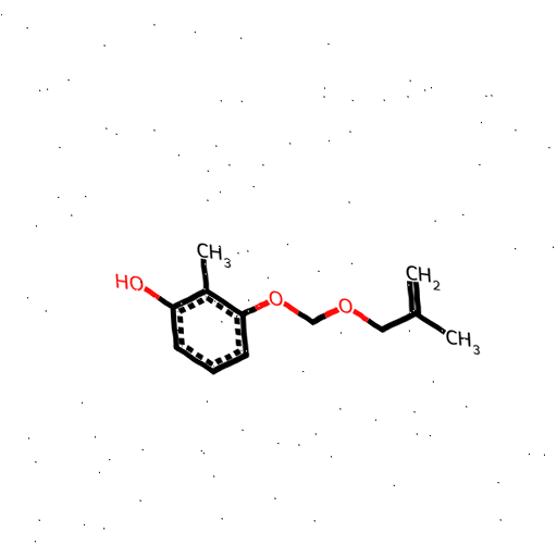 C=C(C)COCOc1cccc(O)c1C